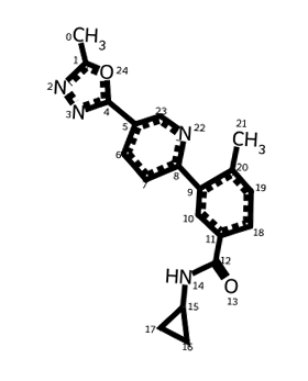 Cc1nnc(-c2ccc(-c3cc(C(=O)NC4CC4)ccc3C)nc2)o1